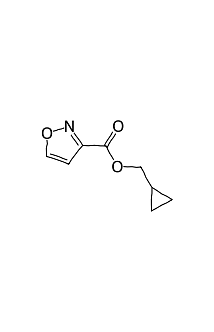 O=C(OCC1CC1)c1ccon1